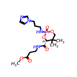 COC(=O)CCNC(=O)[C@@H]1OP(=O)(NCCCn2ccnc2)OCC1(C)C